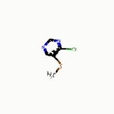 CSc1cncnc1Cl